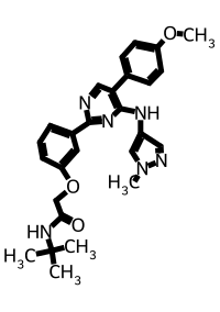 COc1ccc(-c2cnc(-c3cccc(OCC(=O)NC(C)(C)C)c3)nc2Nc2cnn(C)c2)cc1